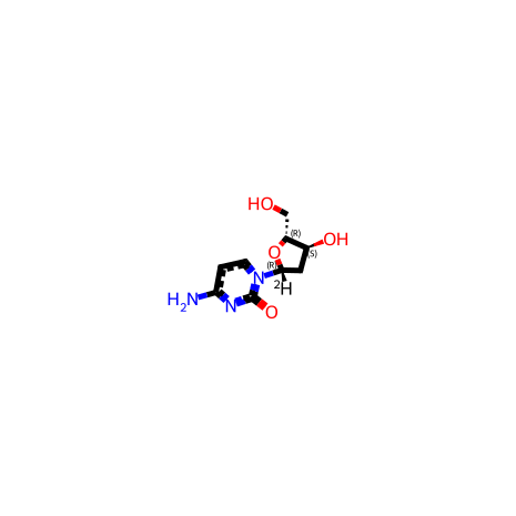 [2H][C@]1(n2ccc(N)nc2=O)C[C@H](O)[C@@H](CO)O1